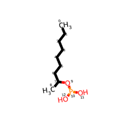 CCCCCCCC(C)OP(O)O